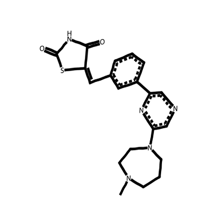 CN1CCCN(c2cncc(-c3cccc(C=C4SC(=O)NC4=O)c3)n2)CC1